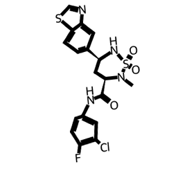 CN1[C@@H](C(=O)Nc2ccc(F)c(Cl)c2)C[C@@H](c2ccc3scnc3c2)NS1(=O)=O